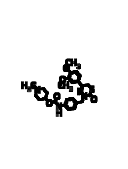 COc1ccc(C2=NN(Cc3ccc(NC(=O)OC4CCN(C)CC4)cc3)C(=O)SC2)cc1OC